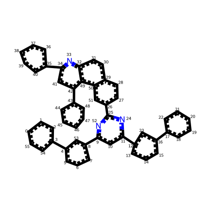 c1ccc(-c2cccc(-c3cc(-c4cccc(-c5ccccc5)c4)nc(-c4ccc5ccc6nc(-c7ccccc7)cc(-c7ccccc7)c6c5c4)n3)c2)cc1